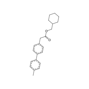 Cc1ccc(-c2ccc(CC(=O)OCC3CCCCC3)cc2)cc1